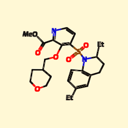 CCc1ccc2c(c1)CCC(CC)N2S(=O)(=O)c1ccnc(C(=O)OC)c1OCC1CCOCC1